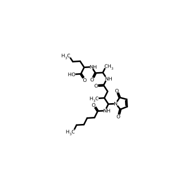 CCCCCC(=O)NC(C(C)CC(=O)NC(C)C(=O)NC(CCC)C(=O)O)N1C(=O)C=CC1=O